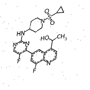 CC(O)c1ccnc2c(F)cc(-c3nc(NC4CCN(S(=O)(=O)C5CC5)CC4)ncc3F)cc12